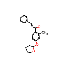 Cc1cc(OC2CCCCO2)ccc1C(=O)/C=C/c1ccccc1